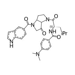 CC(C)C[C@H](NC(=O)c1ccc(N(C)C)cc1)C(=O)N1CCC2C1C(=O)CN2C(=O)c1ccc2[nH]ccc2c1